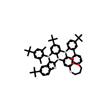 Cc1cc(C(C)(C)C)cc(C)c1N1c2cc(C(C)(C)C)cc3c2B(c2cc4c(cc2N3c2ccc(C(C)(C)C)cc2-c2ccccc2)OCCCO4)c2oc3ccc(C(C)(C)C)cc3c21